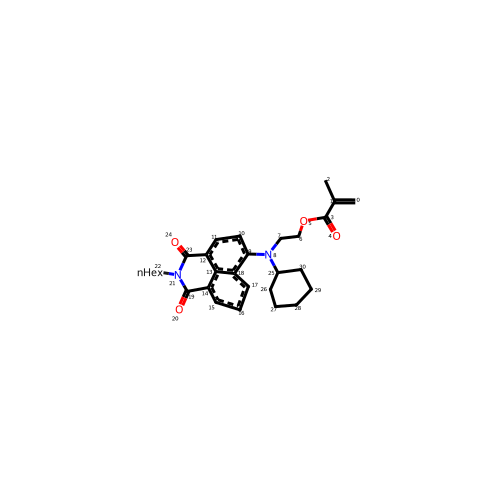 C=C(C)C(=O)OCCN(c1ccc2c3c(cccc13)C(=O)N(CCCCCC)C2=O)C1CCCCC1